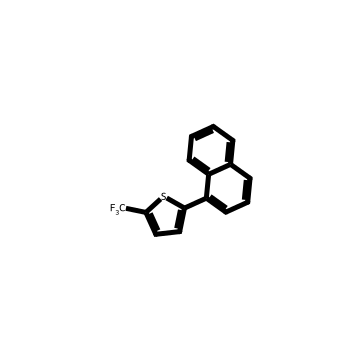 FC(F)(F)c1ccc(-c2cccc3ccccc23)s1